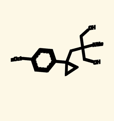 CCCCCCCCc1ccc(C2(CC(CO)(CO)NC)CC2)cc1